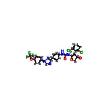 O=C(NC1=C(c2c(Cl)cccc2Cl)C(=O)CO1)Nc1ccc(-c2ncn(-c3ccc(OC(F)(F)F)cc3)n2)cc1